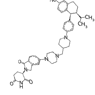 CC(C)[C@@H]1CCc2cc(O)ccc2[C@@H]1c1ccc(N2CCC(CN3CCN(c4ccc5c(c4)CN([C@@H]4CCC(=O)NC4=O)C5=O)CC3)CC2)cc1